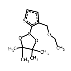 CCOCc1ccsc1B1OC(C)(C)C(C)(C)O1